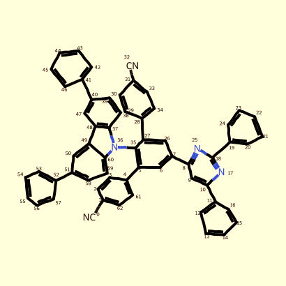 N#Cc1ccc(-c2cc(-c3cc(-c4ccccc4)nc(-c4ccccc4)n3)cc(-c3ccc(C#N)cc3)c2-n2c3ccc(-c4ccccc4)cc3c3cc(-c4ccccc4)ccc32)cc1